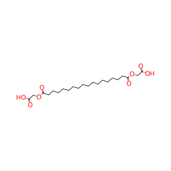 O=C(O)COC(=O)CCCCCCCCCCCCCCCCC(=O)OCC(=O)O